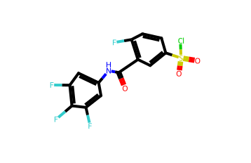 O=C(Nc1cc(F)c(F)c(F)c1)c1cc(S(=O)(=O)Cl)ccc1F